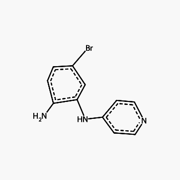 Nc1ccc(Br)cc1Nc1ccncc1